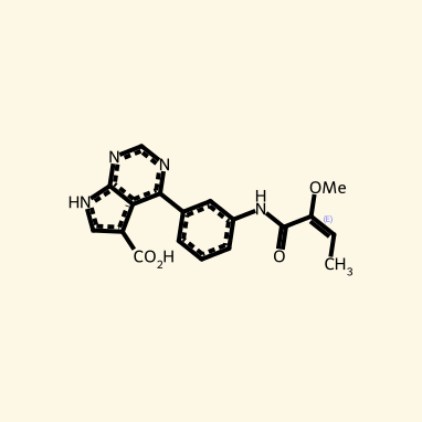 C/C=C(/OC)C(=O)Nc1cccc(-c2ncnc3[nH]cc(C(=O)O)c23)c1